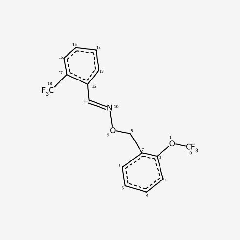 FC(F)(F)Oc1ccccc1CON=[C]c1ccccc1C(F)(F)F